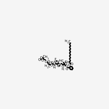 C#CC(COC(=O)c1ccccc1OC(=O)CCCCCCCCCCCCCCC)(OC)[C@@H](O)Cn1cnc2c(NC(=O)OC(C)(C)CC(=O)OCc3oc(=O)oc3C)nc(F)nc21